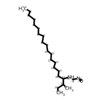 CCCCCCCCCCCCCCCCCC(NCN=O)C(C)CC